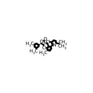 Cc1cc(C)cc([C@H]2OC(=O)N(Cc3cc(C)ccc3-c3nc(C(C)C)ccc3Cl)[C@H]2C)c1